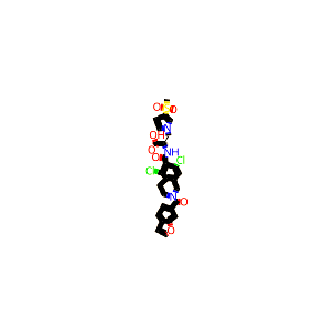 CS(=O)(=O)c1ccn(C[C@H](NC(=O)c2c(Cl)cc3c(c2Cl)CCN(C(=O)c2ccc4ccoc4c2)C3)C(=O)O)c1